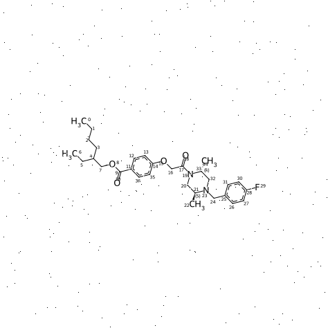 CCCCC(CC)COC(=O)c1ccc(OCC(=O)N2C[C@H](C)N(Cc3ccc(F)cc3)C[C@H]2C)cc1